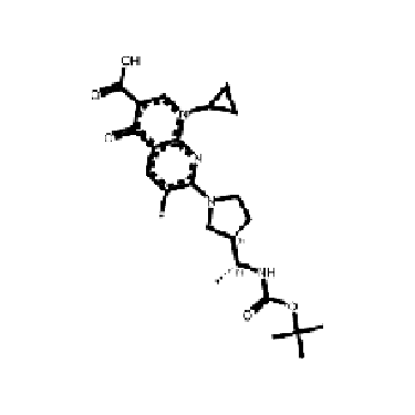 C[C@@H](NC(=O)OC(C)(C)C)[C@@H]1CCN(c2nc3c(cc2F)c(=O)c(C(=O)O)cn3C2CC2)C1